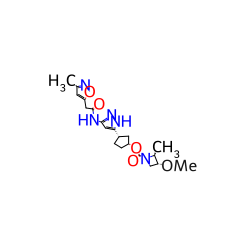 CO[C@@H]1CN(C(=O)O[C@@H]2CC[C@H](c3cc(NC(=O)Cc4cc(C)no4)n[nH]3)C2)[C@H]1C